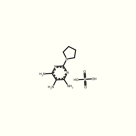 Nc1nc(N2CCCC2)nc(N)c1N.O=S(=O)(O)O